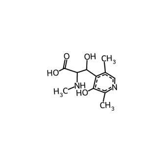 CNC(C(=O)O)C(O)c1c(C)cnc(C)c1O